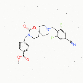 COC(=O)c1ccc(CN2CCC3(CCN(Cc4c(F)cc(C#N)cc4F)CC3)OC2=O)cc1